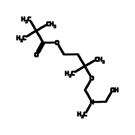 CN(CO)COC(C)(C)CCOC(=O)C(C)(C)C